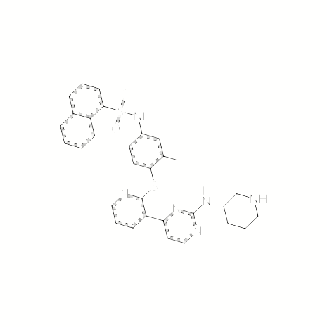 O=S(=O)(Nc1ccc(Sc2ncccc2-c2ccnc(N[C@H]3CCCNC3)n2)c(F)c1)c1cccc2ccccc12